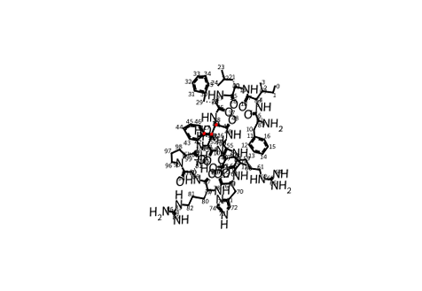 CC[C@H](C)[C@H](NC(=O)[C@@H](N)Cc1ccccc1)C(=O)N[C@@H](CC(C)C)C(=O)N[C@@H](Cc1ccccc1)C(=O)N[C@@H](Cc1ccccc1)C(=O)N[C@@H](CC(C)C)C(=O)N[C@@H](CCCNC(=N)N)C(=O)N[C@@H](Cc1c[nH]cn1)C(=O)N[C@@H](CCCNC(=N)N)C(=O)N[C@@H](CS)C(=O)N1CCC[C@H]1C(=O)N[C@H](C(=O)N[C@@H](CC(C)C)C(=O)O)[C@@H](C)O